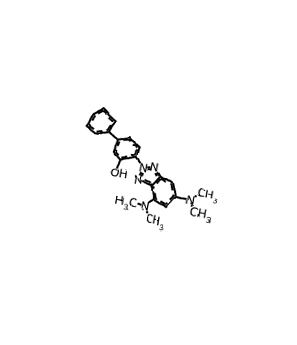 CN(C)c1cc(N(C)C)c2nn(-c3ccc(-c4ccccc4)cc3O)nc2c1